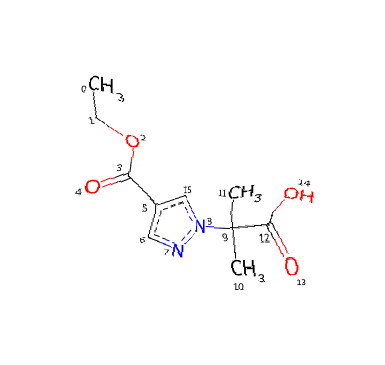 CCOC(=O)c1cnn(C(C)(C)C(=O)O)c1